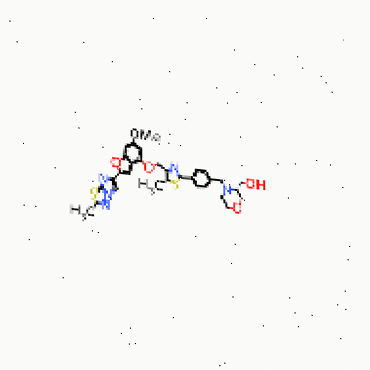 COc1cc(OCc2nc(-c3ccc(CN4CCOC[C@H]4CO)cc3)sc2C)c2cc(-c3cn4nc(C)sc4n3)oc2c1